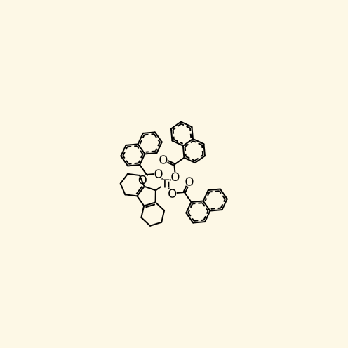 O=C([O][Ti]([O]C(=O)c1cccc2ccccc12)([O]C(=O)c1cccc2ccccc12)[CH]1C2=C(CCCC2)C2=C1CCCC2)c1cccc2ccccc12